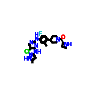 Cc1cc(Nc2nc(Nc3cc(C)c(C4CCN(C(=O)[C@@H]5CCN5)CC4)cc3F)ncc2Cl)n[nH]1